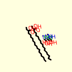 CCCCCCCCCCCCCCCCC(CC)C(=O)O.CCCCCCCCCCCCCCCCC(CC)C(=O)O.CNCCO.CNCCO.CNCCO.Cl